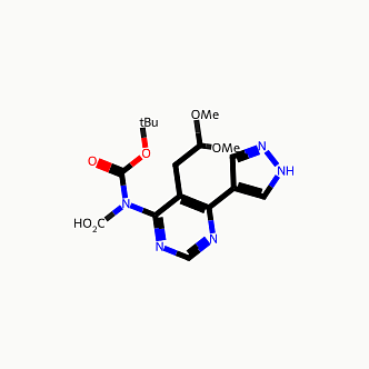 COC(Cc1c(-c2cn[nH]c2)ncnc1N(C(=O)O)C(=O)OC(C)(C)C)OC